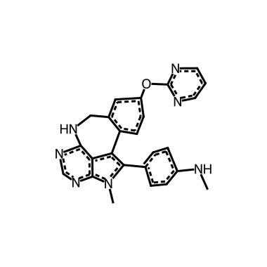 CNc1ccc(-c2c3c4c(ncnc4n2C)NCc2cc(Oc4ncccn4)ccc2-3)cc1